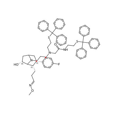 CON=CCC[C@@H]1C2[C@H](O)CC(C[C@@H]1c1ccc(F)cc1)N2CCCN(CCSC(c1ccccc1)(c1ccccc1)c1ccccc1)CC(=O)NCCSC(c1ccccc1)(c1ccccc1)c1ccccc1